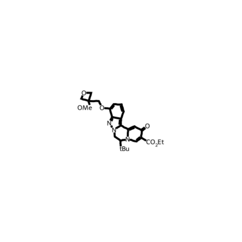 CCOC(=O)c1cn2c(cc1=O)-c1c3cccc(OCC4(OC)COC4)c3nn1CC2C(C)(C)C